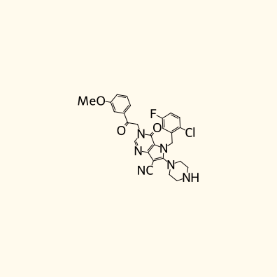 COc1cccc(C(=O)Cn2cnc3c(C#N)c(N4CCNCC4)n(Cc4cc(F)ccc4Cl)c3c2=O)c1